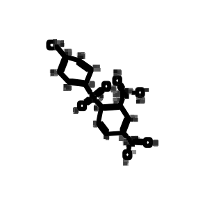 O=[N+]([O-])c1ccc(S(=O)(=O)c2ccc(Cl)cc2)c([N+](=O)[O-])c1